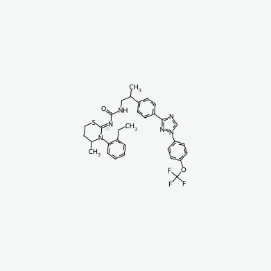 CCc1ccccc1N1/C(=N/C(=O)NCC(C)c2ccc(-c3ncn(-c4ccc(OC(F)(F)F)cc4)n3)cc2)SCCC1C